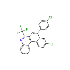 FC(F)(F)c1nc2ccccc2c2c1cc(-c1ccc(Cl)cc1)c1cc(Cl)ccc12